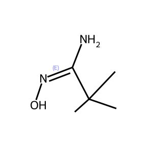 CC(C)(C)/C(N)=N\O